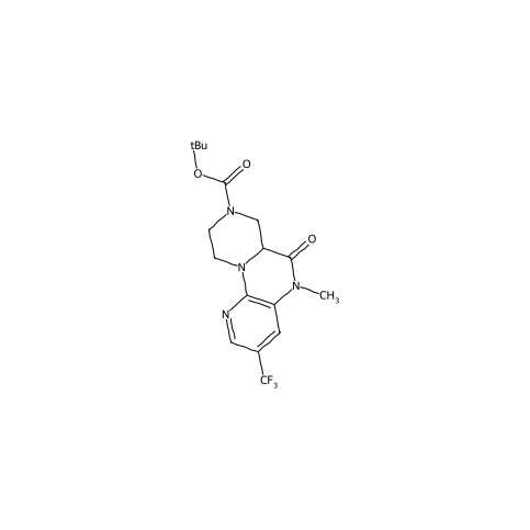 CN1C(=O)C2CN(C(=O)OC(C)(C)C)CCN2c2ncc(C(F)(F)F)cc21